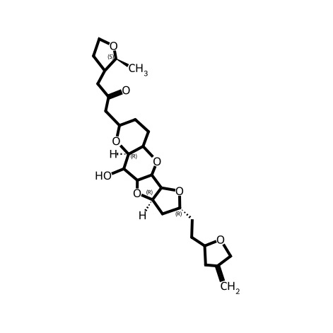 C=C1COC(CC[C@@H]2C[C@H]3OC4C(OC5CCC(CC(=O)CC6CCO[C@H]6C)O[C@@H]5C4O)C3O2)C1